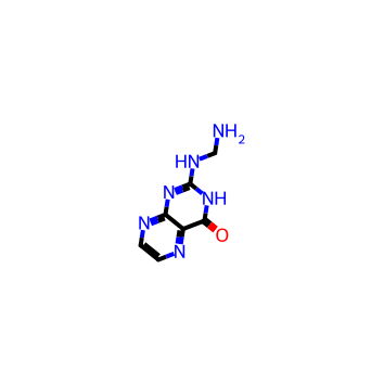 NCNc1nc2nccnc2c(=O)[nH]1